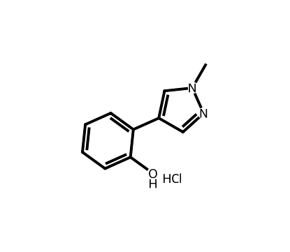 Cl.Cn1cc(-c2ccccc2O)cn1